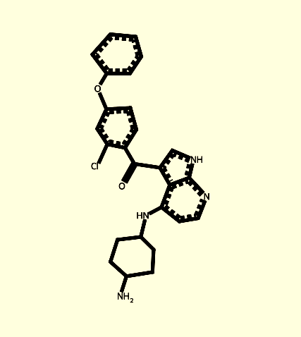 NC1CCC(Nc2ccnc3[nH]cc(C(=O)c4ccc(Oc5ccccc5)cc4Cl)c23)CC1